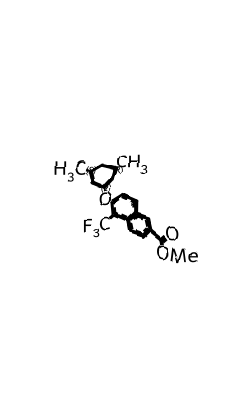 COC(=O)c1ccc2c(C(F)(F)F)c(O[C@H]3C[C@H](C)C[C@H](C)C3)ccc2c1